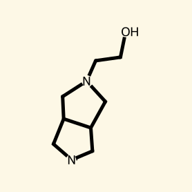 OCCN1CC2C[N]CC2C1